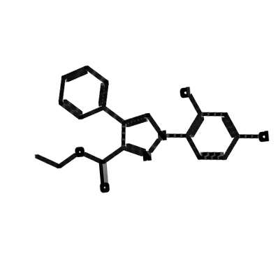 CCOC(=O)c1nn(-c2ccc(Cl)cc2Cl)cc1-c1ccccc1